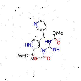 COC(=O)NC(=N)N(C(=O)OC)c1c(Cc2cccnc2)c[nH]c1C(=O)OC